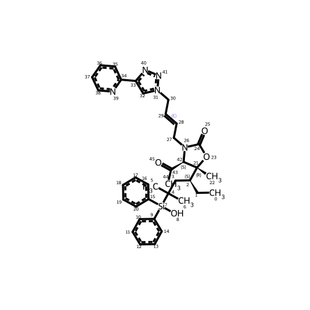 CC[C@@H](CC(C)(C)[Si](O)(c1ccccc1)c1ccccc1)[C@@]1(C)OC(=O)N(C/C=C/Cn2cc(-c3ccccn3)nn2)[C@@H]1C(C)=O